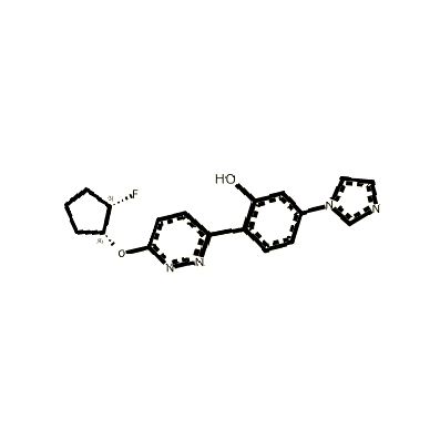 Oc1cc(-n2ccnc2)ccc1-c1ccc(O[C@@H]2CCC[C@@H]2F)nn1